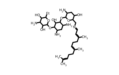 CCC1OC(OC2C(N)CC(N)C(OC3OC(C/N=C/C=C(\C)CC/C=C(\C)CCC=C(C)C)C(O)CC3N)C2O)C(O)C(N)C1O